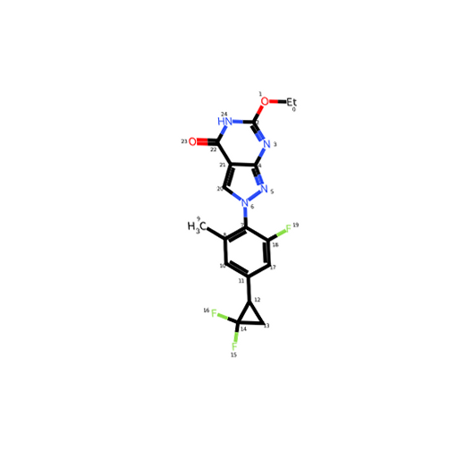 CCOc1nc2nn(-c3c(C)cc(C4CC4(F)F)cc3F)cc2c(=O)[nH]1